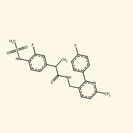 CC(C(=S)NCc1ccc(C(F)(F)F)nc1-c1ccc(F)cc1)c1ccc(NS(C)(=O)=O)c(F)c1